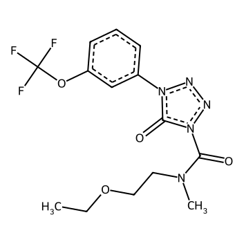 CCOCCN(C)C(=O)n1nnn(-c2cccc(OC(F)(F)F)c2)c1=O